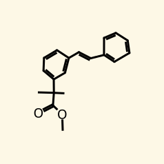 COC(=O)C(C)(C)c1cccc(/C=C/c2ccccc2)c1